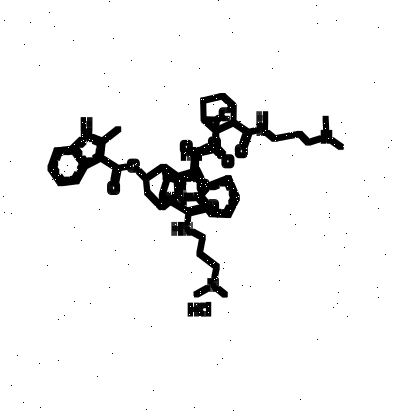 Cc1[nH]c2ccccc2c1C(=O)OC1CC2CCC1C(C(=O)NC(=O)C1C3CCC(CC3OC(=O)c3c(C)[nH]c4ccccc34)C1C(=O)NCCCN(C)C)C2C(=O)NCCCN(C)C.Cl